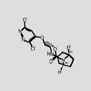 CC(C)(C)OC(=O)N1[C@@H]2CC[C@H]1CC(NCCOc1cc(Cl)nnc1Cl)C2